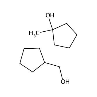 CC1(O)CCCC1.OCC1CCCC1